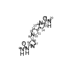 CNC(=O)Nc1cc(CN2CCC(c3ccc(C(=O)NC)nc3C)CC2)ccn1